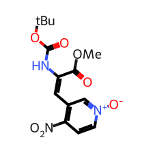 COC(=O)/C(=C\c1c[n+]([O-])ccc1[N+](=O)[O-])NC(=O)OC(C)(C)C